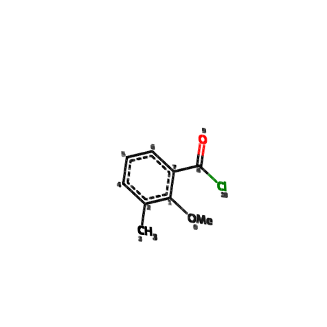 COc1c(C)cccc1C(=O)Cl